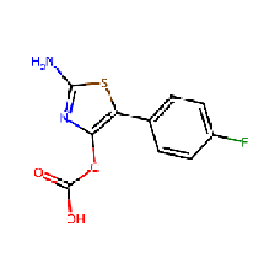 Nc1nc(OC(=O)O)c(-c2ccc(F)cc2)s1